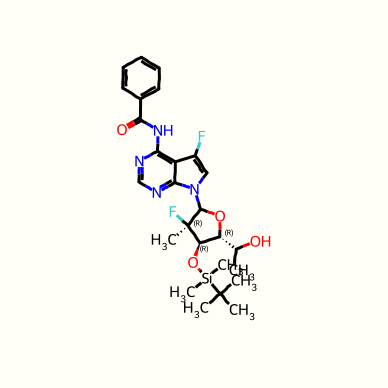 CC(O)[C@H]1OC(n2cc(F)c3c(NC(=O)c4ccccc4)ncnc32)[C@](C)(F)[C@@H]1O[Si](C)(C)C(C)(C)C